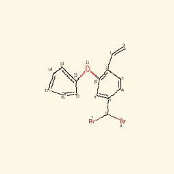 C=Cc1ccc(C(Br)Br)cc1Oc1ccccc1